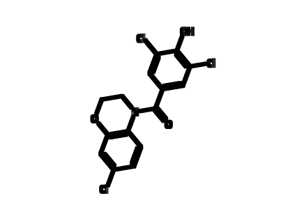 O=C(c1cc(Cl)c(O)c(Cl)c1)N1CCOc2cc(Cl)ccc21